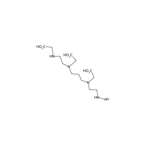 CCCNCCN(CCCN(CCNCC(=O)O)CC(=O)O)CC(=O)O